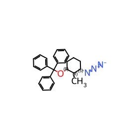 C[C@@H]1[C@@H](N=[N+]=[N-])CCC[C@H]1OC(c1ccccc1)(c1ccccc1)c1ccccc1